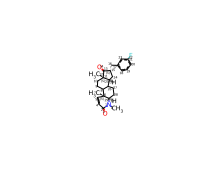 CN1C(=O)C=C[C@]2(C)C3CC[C@]4(C)C(=O)[C@H](Cc5cccc(F)c5)C[C@H]4C3CC[C@@H]12